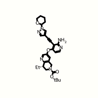 CC[C@H]1CN(C(=O)OC(C)(C)C)Cc2cc(Oc3ccnc(N)c3C#Cc3cnn(C4CCCCO4)c3)cnc21